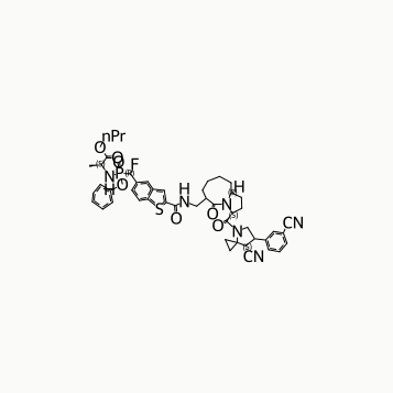 CCCOC(=O)[C@H](C)NP(=O)(Oc1ccccc1)[C@@H](F)c1ccc2sc(C(=O)NCC3CCCC[C@H]4CC[C@@H](C(=O)N5CC(c6cccc(C#N)c6)[C@H](C#N)C56CC6)N4C3=O)cc2c1